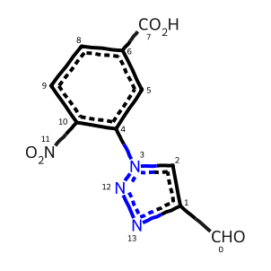 O=Cc1cn(-c2cc(C(=O)O)ccc2[N+](=O)[O-])nn1